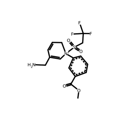 COC(=O)c1cccc([N+]2(S(=O)(=O)CC(F)(F)F)C=C(CN)C=CC2)c1